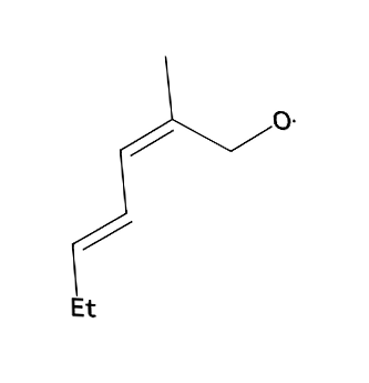 CCC=CC=C(C)C[O]